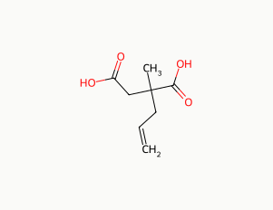 C=CCC(C)(CC(=O)O)C(=O)O